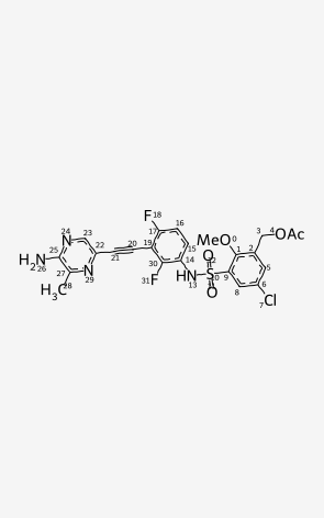 COc1c(COC(C)=O)cc(Cl)cc1S(=O)(=O)Nc1ccc(F)c(C#Cc2cnc(N)c(C)n2)c1F